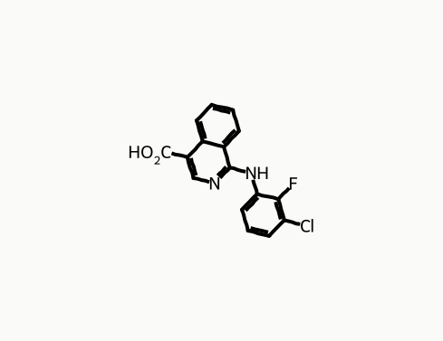 O=C(O)c1cnc(Nc2cccc(Cl)c2F)c2ccccc12